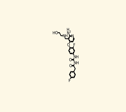 Nc1nccc(Oc2ccc(NC(=O)NC(=O)Cc3ccc(F)cc3)cc2F)c1CNCCO